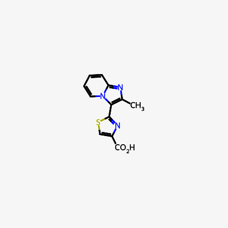 Cc1nc2ccccn2c1-c1nc(C(=O)O)cs1